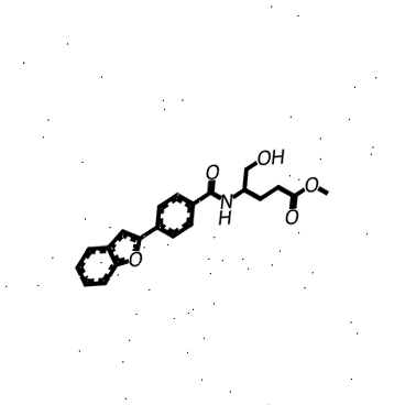 COC(=O)CCC(CO)NC(=O)c1ccc(-c2cc3ccccc3o2)cc1